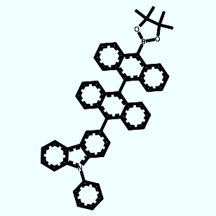 CC1(C)OB(c2c3ccccc3c(-c3c4ccccc4c(-c4ccc5c(c4)c4ccccc4n5-c4ccccc4)c4ccccc34)c3ccccc23)OC1(C)C